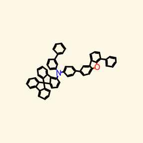 c1ccc(-c2cccc(N(c3ccc(-c4ccc5oc6c(-c7ccccc7)cccc6c5c4)cc3)c3cccc4c3-c3ccccc3C43c4ccccc4-c4ccccc43)c2)cc1